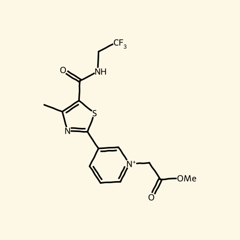 COC(=O)C[n+]1cccc(-c2nc(C)c(C(=O)NCC(F)(F)F)s2)c1